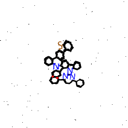 C1=CCC(C2=NC(n3c4ccccc4c4ccc5c(c6ccccc6n5-c5ccccc5-c5ccc6c(c5)sc5ccccc56)c43)=NC(c3ccccc3)=CC2)C=C1